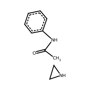 C1CN1.CC(=O)Nc1ccccc1